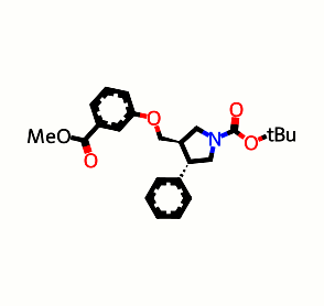 COC(=O)c1cccc(OC[C@H]2CN(C(=O)OC(C)(C)C)C[C@@H]2c2ccccc2)c1